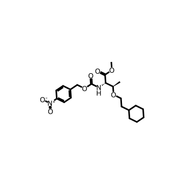 COC(=O)[C@@H](NC(=O)OCc1ccc([N+](=O)[O-])cc1)[C@@H](C)OCCC1CCCCC1